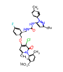 Cc1ccc(-n2nc(C(C)(C)C)cc2NC(=O)NCc2cc(F)ccc2COc2cc(C)n(-c3cc(C(=O)O)ccc3C)c(=O)c2Cl)cc1